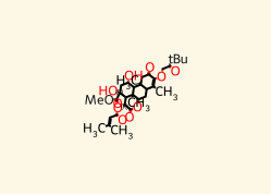 COC(=O)[C@@]1(O)CC(O)C2C3(C)CC(=O)C(OCC(=O)C(C)(C)C)=C(C)C3CC3OC(=O)[C@H](OC(=O)C=C(C)C)C1C32C